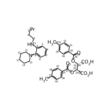 CC(C)CCNc1ccccc1N1CCCCC1.Cc1ccc(C(=O)O[C@H](C(=O)O)[C@H](OC(=O)c2ccc(C)cc2)C(=O)O)cc1